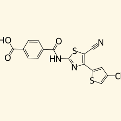 N#Cc1sc(NC(=O)c2ccc(C(=O)O)cc2)nc1-c1cc(Cl)cs1